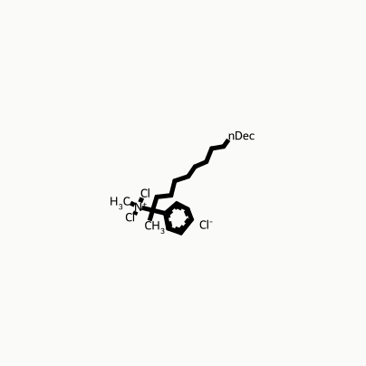 CCCCCCCCCCCCCCCCCCC(C)(c1ccccc1)[N+](C)(Cl)Cl.[Cl-]